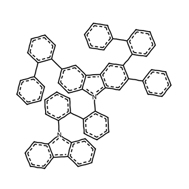 c1ccc(-c2ccccc2-c2ccc3c(c2)c2cc(-c4ccccc4-c4ccccc4)c(-c4ccccc4)cc2n3-c2ccccc2-c2ccccc2-n2c3ccccc3c3ccccc32)cc1